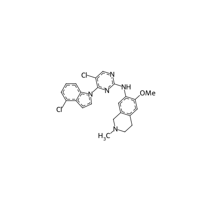 COc1cc2c(cc1Nc1ncc(Cl)c(-n3ccc4c(Cl)cccc43)n1)CN(C)CC2